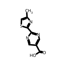 Cc1csc(-c2ncc(C(=O)O)cn2)n1